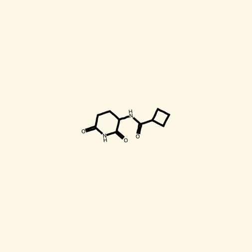 O=C1CCC(NC(=O)C2CCC2)C(=O)N1